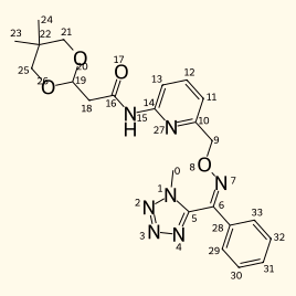 Cn1nnnc1/C(=N\OCc1cccc(NC(=O)CC2OCC(C)(C)CO2)n1)c1ccccc1